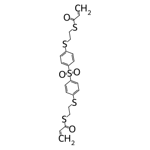 C=CC(=O)SCCSc1ccc(S(=O)(=O)c2ccc(SCCSC(=O)C=C)cc2)cc1